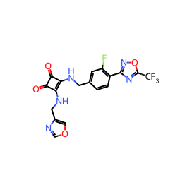 O=c1c(NCc2ccc(-c3noc(C(F)(F)F)n3)c(F)c2)c(NCc2cocn2)c1=O